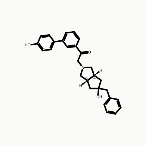 O=C(CN1C[C@@H]2CC(O)(Cc3ccccc3)C[C@@H]2C1)c1cccc(-c2ccc(O)cc2)c1